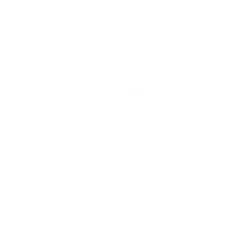 O=C(OC[C@H](CO)OC(=O)c1ccccc1)c1ccccc1